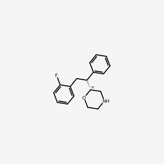 Fc1ccccc1CC(c1ccccc1)[C@@H]1CNCCO1